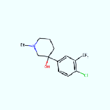 CCN1CCCC(O)(c2ccc(Cl)c(C(F)(F)F)c2)C1